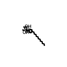 CCCCCCCCCCCCc1ccc(S(=O)(=O)N(C(C)O)C(C)O)cc1